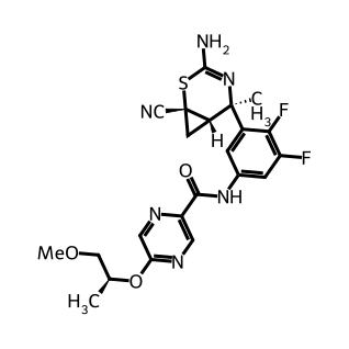 COC[C@H](C)Oc1cnc(C(=O)Nc2cc(F)c(F)c([C@]3(C)N=C(N)S[C@@]4(C#N)C[C@@H]34)c2)cn1